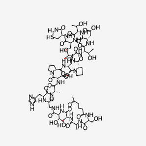 CC(=O)CCCC(=O)N[C@@H](CO)C(=O)N[C@@H](C)C(=O)N[C@@H](CO)C(=O)N[C@H](C(=O)NCC(=O)N[C@@H](Cc1c[nH]cn1)C(=O)N[C@@H](C)C(=O)N[C@H](C(=O)N1CCC[C@H]1C(=O)N[C@@H](CC(C)C)C(=O)N1CCC[C@H]1C(=O)N[C@H](C(=O)N[C@H](C(=O)N[C@@H](CC(=O)O)C(=O)N[C@H](C(=O)N[C@@H](CO)C(=O)N[C@@H](CS)C(N)=O)[C@@H](C)O)[C@@H](C)O)C(C)C)[C@@H](C)O)[C@@H](C)O